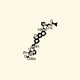 COC(=O)N[C@H](C(=O)N1CCC[C@H]1c1ncc(-c2ccc3c(c2)COc2cc4c(cc2-3)CCc2nc([C@@H]3CCCN3C(=O)CNC(=O)C3CC3)[nH]c2-4)[nH]1)C(C)C